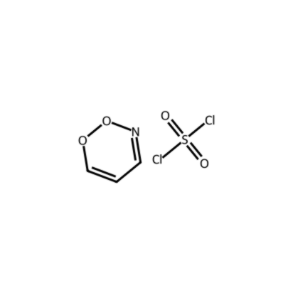 C1=COON=C1.O=S(=O)(Cl)Cl